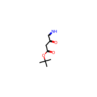 CC(C)(C)OC(=O)CC(=O)C=N